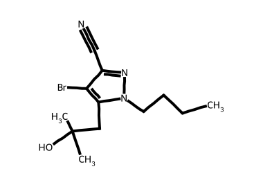 CCCCn1nc(C#N)c(Br)c1CC(C)(C)O